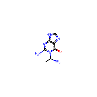 CC(N)n1c(N)nc2[nH]cnc2c1=O